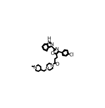 CN1CCC(CN2CCN(C(=O)CCc3oc(-c4n[nH]c5ccccc45)nc3-c3ccc(Cl)cc3)CC2)CC1